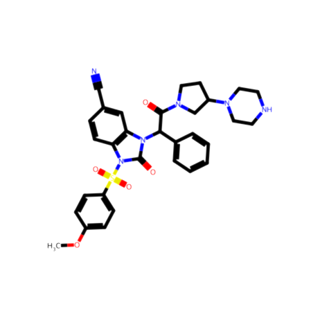 COc1ccc(S(=O)(=O)n2c(=O)n(C(C(=O)N3CCC(N4CCNCC4)C3)c3ccccc3)c3cc(C#N)ccc32)cc1